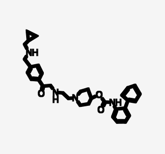 O=C(Nc1ccccc1-c1ccccc1)OC1CCN(CCNCC(=O)c2ccc(CNCC3CC3)cc2)CC1